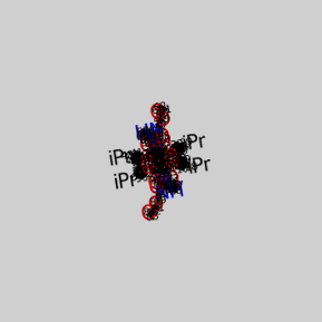 CC(C)c1ccc(Oc2cc3c4c(cc(Oc5ccc(C(C)C)cc5)c5c6c(Oc7ccc(C(C)C)cc7)cc7c8c(cc(Oc9ccc(C(C)C)cc9)c(c2c45)c86)C(=O)N(C(C(=O)NCCOC2CCO2)C2CCCC2)C7=O)C(=O)N(C(C(=O)NCCOCC2CO2)C2CCCC2)C3=O)cc1